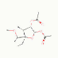 CC[C@]1(C(C)OC)OC(OC(C)=O)[C@H](OC(C)=O)[C@@H]1C